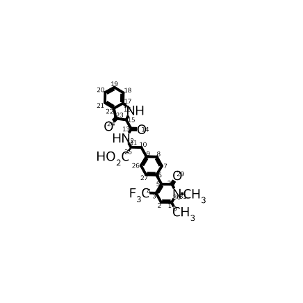 Cc1cc(C(F)(F)F)c(-c2ccc(C[C@H](NC(=O)C3Nc4ccccc4C3=O)C(=O)O)cc2)c(=O)n1C